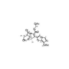 CSc1ncn2cc(C3=C(C(=O)OCOC(C)=O)N4C(=O)[C@H]([C@@H](C)O)[C@H]4[C@H]3C)sc12